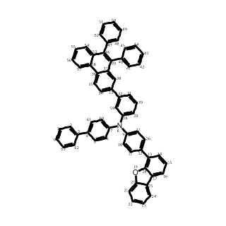 c1ccc(-c2ccc(N(c3ccc(-c4cccc5c4oc4ccccc45)cc3)c3cccc(-c4ccc5c(c4)c(-c4ccccc4)c(-c4ccccc4)c4ccccc45)c3)cc2)cc1